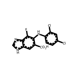 O=C(O)c1cc2[nH]cnc2c(F)c1Nc1ccc(Cl)cc1Cl